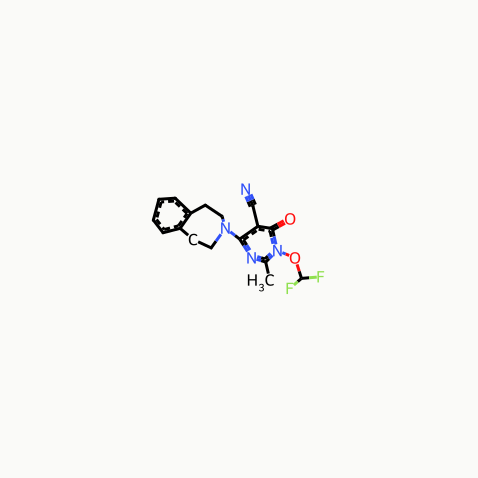 Cc1nc(N2CCc3ccccc3CC2)c(C#N)c(=O)n1OC(F)F